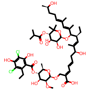 CCc1c(Cl)c(O)c(Cl)c(O)c1C(=O)O[C@H]1[C@H](O)[C@H](OC)[C@H](OC/C(=C\C=C\C[C@H](O)/C(C)=C/[C@H](CC)[C@@H](O[C@@H]2OC(C)(C)[C@@H](OC(=O)C(C)C)[C@H](O)[C@@H]2O)/C(C)=C/C(C)=C/CC[C@@H](C)O)C(=O)O)O[C@@H]1C